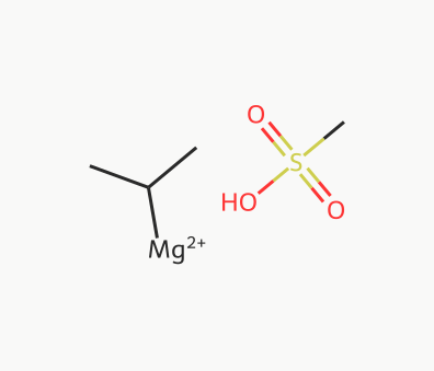 CS(=O)(=O)O.C[CH](C)[Mg+2]